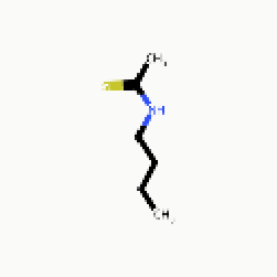 CCCCNC(C)=S